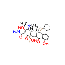 CN(C)[C@@H]1C(O)=C(C(N)=O)C(=O)C2(S)C(O)=C3C(=O)c4c(O)cccc4[C@H](Sc4ccccc4)[C@H]3C[C@@H]12